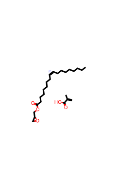 C=C(C)C(=O)O.CCCCCCCC/C=C\CCCCCCCC(=O)OCC1CO1